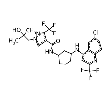 CC(C)(O)Cn1cc(C(=O)NC2CCCC(Nc3cc(C(F)(F)F)nc4ccc(Cl)cc34)C2)c(C(F)(F)F)n1